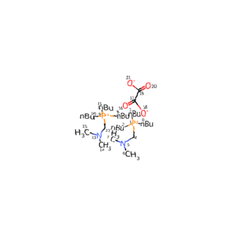 CCCC[P+](CCCC)(CCCC)CN(C)C.CCCC[P+](CCCC)(CCCC)CN(C)C.O=C([O-])C(=O)[O-]